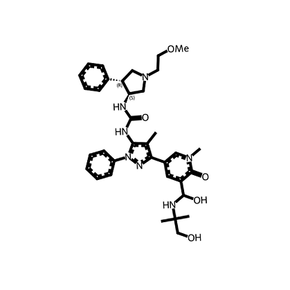 COCCN1C[C@@H](NC(=O)Nc2c(C)c(-c3cc(C(O)NC(C)(C)CO)c(=O)n(C)c3)nn2-c2ccccc2)[C@H](c2ccccc2)C1